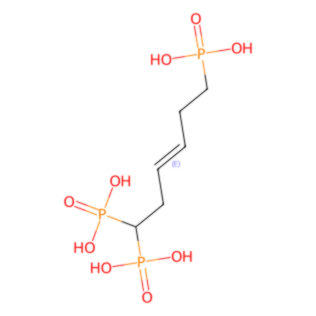 O=P(O)(O)CC/C=C/CC(P(=O)(O)O)P(=O)(O)O